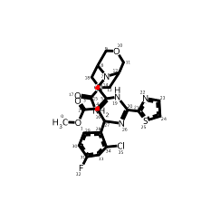 COC(=O)C1=C(CN2C3COCC2CN(C(N)=O)C3)NC(c2nccs2)=NC1c1ccc(F)cc1Cl